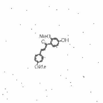 COc1ccc(C=CC(=O)c2ccc(O)cc2OC)cc1